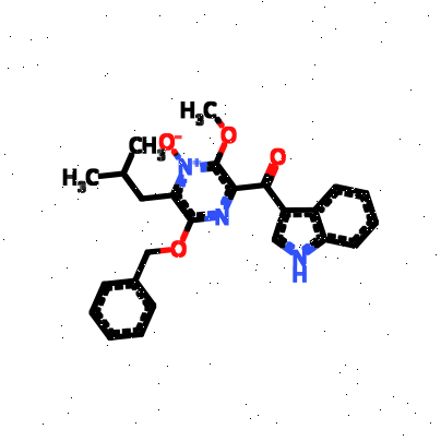 COc1c(C(=O)c2c[nH]c3ccccc23)nc(OCc2ccccc2)c(CC(C)C)[n+]1[O-]